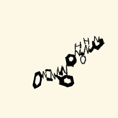 O=C(NCc1cccnc1)Nc1ccc(-n2nc(N3CCN(C4CCCCC4)CC3)c3ccccc32)cc1